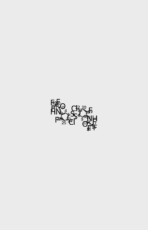 O=C(Nc1cc(SSc2cc(NC(=O)C(F)(F)F)c(F)cc2Cl)c(Cl)cc1F)C(F)(F)F